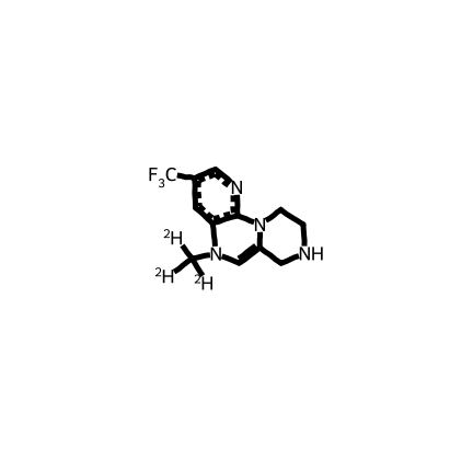 [2H]C([2H])([2H])N1C=C2CNCCN2c2ncc(C(F)(F)F)cc21